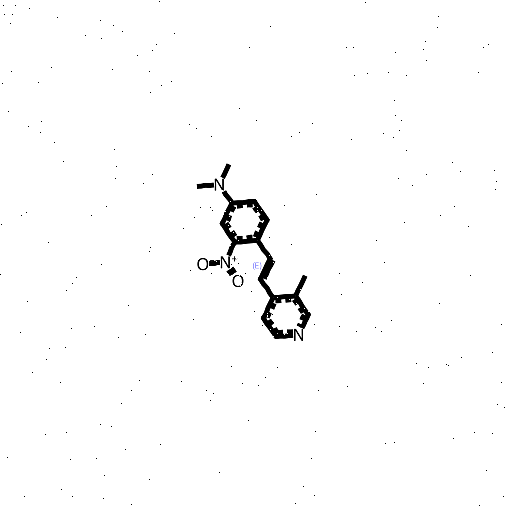 Cc1cnccc1/C=C/c1ccc(N(C)C)cc1[N+](=O)[O-]